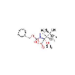 CC[C@](C)(C(C)(C)C)[C@](NC(=O)OCc1ccccc1)(O[SiH3])C(=O)O